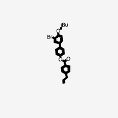 C=CCc1ccc(C(=O)Oc2ccc(-c3ccc(OCC(C)CC)c(Br)c3)cc2)cc1